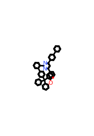 c1ccc(-c2ccc(-c3cc(-c4ccccc4)nc(-c4ccccc4-c4ccc(C5(c6ccccc6)c6ccccc6Oc6ccccc65)cc4)n3)cc2)cc1